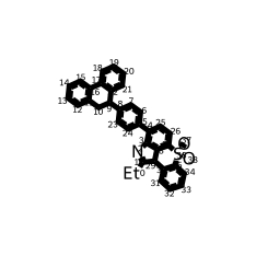 CCC1=Nc2c(-c3ccc(C4Cc5ccccc5-c5ccccc54)cc3)ccc3c2C1c1ccccc1S3(=O)=O